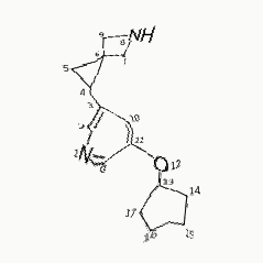 c1ncc(C2CC23CNC3)cc1OC1CCCC1